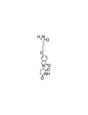 NC(=O)CCCCOc1ccc2c(c1)CN(C1CCC(=O)NC1=O)C2=O